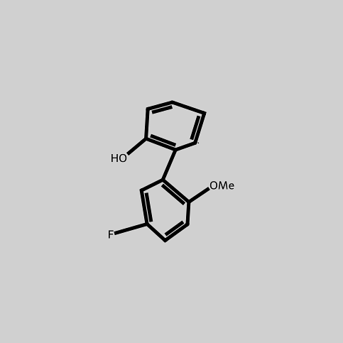 COc1ccc(F)cc1-c1[c]cccc1O